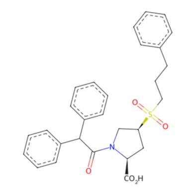 O=C(O)[C@@H]1C[C@H](S(=O)(=O)CCCc2ccccc2)CN1C(=O)C(c1ccccc1)c1ccccc1